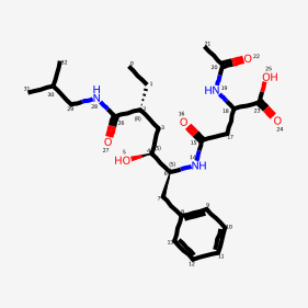 CC[C@H](C[C@H](O)[C@H](Cc1ccccc1)NC(=O)CC(NC(C)=O)C(=O)O)C(=O)NCC(C)C